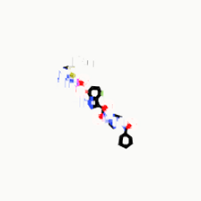 CC(C)(C)c1cnc(NC(=O)Oc2ccc(F)c3c(C(=O)C(=O)N4CCN(C(=O)c5ccccc5)CC4)c[nH]c23)s1